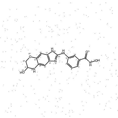 O=C(NO)c1cccc(Nc2nc3cc4c(cc3[nH]2)OCC(O)N4)c1